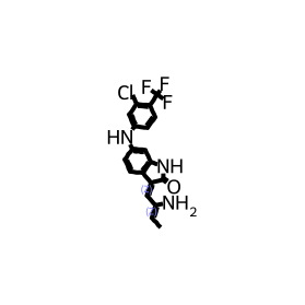 C/C=C(N)/C=C1\C(=O)Nc2cc(Nc3ccc(C(F)(F)F)c(Cl)c3)ccc21